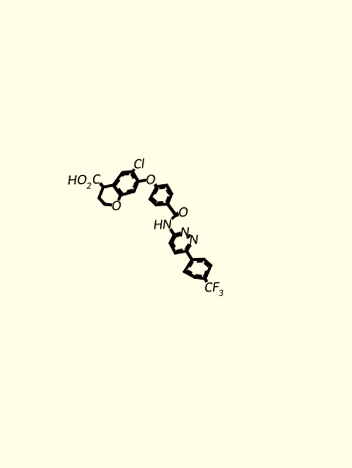 O=C(Nc1ccc(-c2ccc(C(F)(F)F)cc2)nn1)c1ccc(Oc2cc3c(cc2Cl)C(C(=O)O)CCO3)cc1